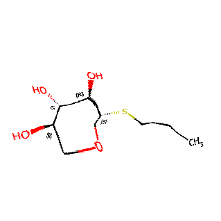 CCCS[C@@H]1OC[C@@H](O)[C@H](O)[C@H]1O